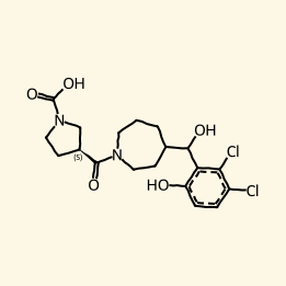 O=C(O)N1CC[C@H](C(=O)N2CCCC(C(O)c3c(O)ccc(Cl)c3Cl)CC2)C1